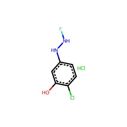 Cl.Oc1cc(NNF)ccc1Cl